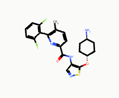 N[C@H]1CC[C@H](Oc2sncc2NC(=O)c2ccc(C(F)(F)F)c(-c3c(F)cccc3F)n2)CC1